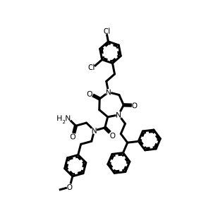 COc1ccc(CCN(CC(N)=O)C(=O)C2CC(=O)N(CCc3ccc(Cl)cc3Cl)CC(=O)N2CCC(c2ccccc2)c2ccccc2)cc1